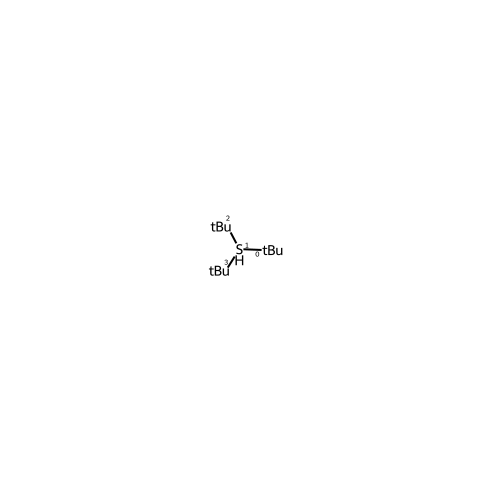 CC(C)(C)[SH](C(C)(C)C)C(C)(C)C